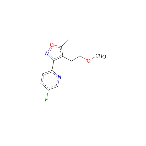 Cc1onc(-c2ccc(F)cn2)c1CCOC=O